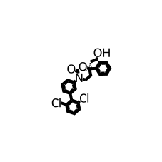 O=C1O[C@@](CCO)(c2ccccc2)CCN1c1cccc(-c2c(Cl)cccc2Cl)c1